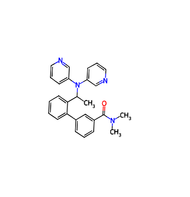 CC(c1ccccc1-c1cccc(C(=O)N(C)C)c1)N(c1cccnc1)c1cccnc1